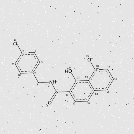 O=C(NCc1ccc(Cl)cc1)c1ccc2ccc[n+]([O-])c2c1O